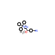 COC(c1ccc(C#N)cc1)c1cn(C(c2ccccc2)(c2ccccc2)c2ccccc2)cn1